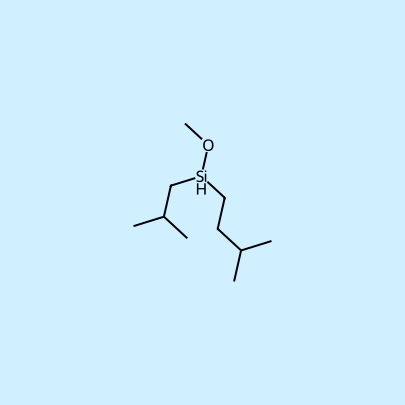 CO[SiH](CCC(C)C)CC(C)C